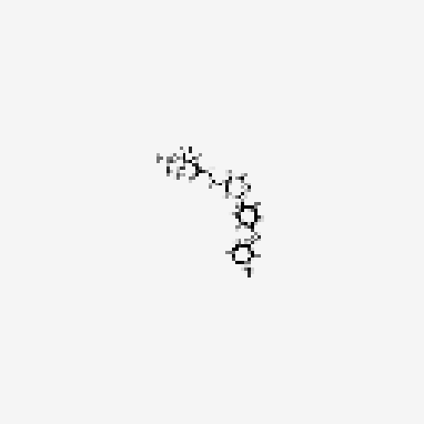 CC(C)(C)OC(=O)CCN1CCOC(c2ccc(Oc3cccc(F)c3)cc2)C1